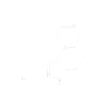 CC(C)(C)Cc1cc2c([nH]1)COc1cnccc1-2